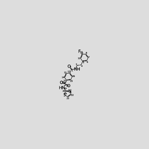 O=C(NCCc1cccc(F)c1)c1ccc(S(=O)(=O)Nc2nccs2)cc1